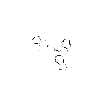 CC(C)c1cccc(C(C)C)c1NC(=O)Nc1sc2cc3c(cc2c1-c1ccc(Cl)cc1Cl)CCC3